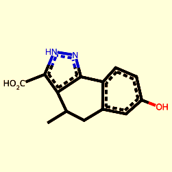 CC1Cc2cc(O)ccc2-c2n[nH]c(C(=O)O)c21